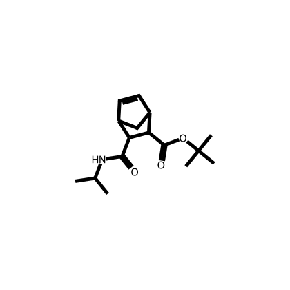 CC(C)NC(=O)C1C2C=CC(C2)C1C(=O)OC(C)(C)C